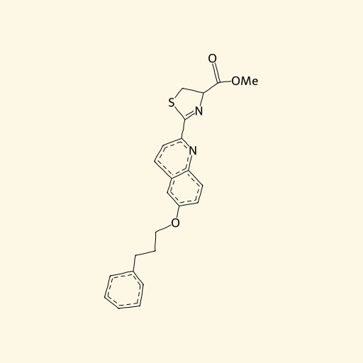 COC(=O)C1CSC(c2ccc3cc(OCCCc4ccccc4)ccc3n2)=N1